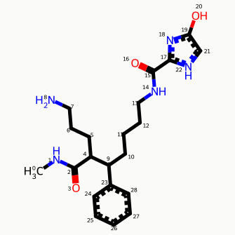 CNC(=O)C(CCCN)[C](CCCCNC(=O)c1nc(O)c[nH]1)c1ccccc1